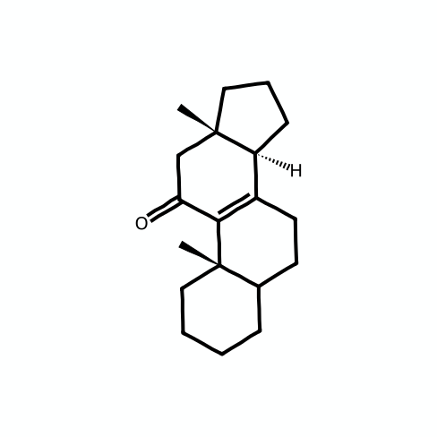 C[C@@]12CCC[C@H]1C1=C(C(=O)C2)[C@@]2(C)CCCCC2CC1